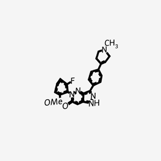 COc1cccc(F)c1-n1nc2c(-c3ccc(C4=CCN(C)CC4)cc3)n[nH]c2cc1=O